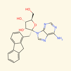 Nc1ncnc2c1ncn2[C@]1(Cc2cccc3c2Cc2ccccc2-3)O[C@H](CO)[C@@H](O)[C@H]1O